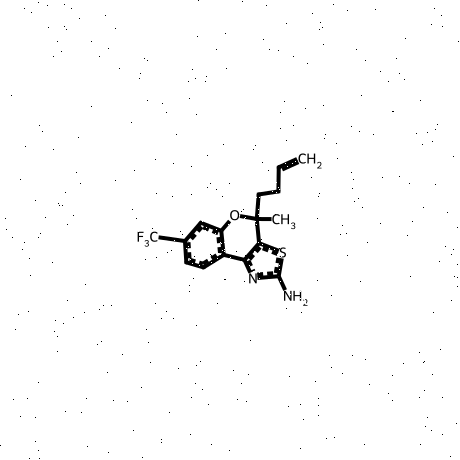 C=CCCC1(C)Oc2cc(C(F)(F)F)ccc2-c2nc(N)sc21